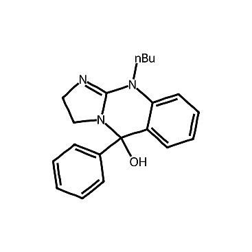 CCCCN1C2=NCCN2C(O)(c2ccccc2)c2ccccc21